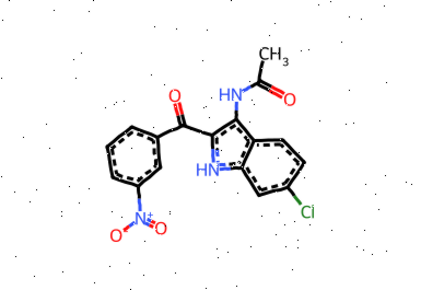 CC(=O)Nc1c(C(=O)c2cccc([N+](=O)[O-])c2)[nH]c2cc(Cl)ccc12